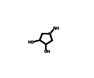 [NH]N1CC(O)C(O)C1